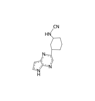 N#CNC1CCCC(c2cnc3[nH]ccc3n2)C1